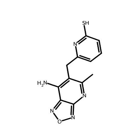 Cc1nc2nonc2c(N)c1Cc1cccc(S)n1